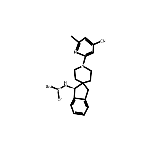 Cc1cc(C#N)cc(N2CCC3(CC2)Cc2ccccc2[C@H]3N[S+]([O-])C(C)(C)C)n1